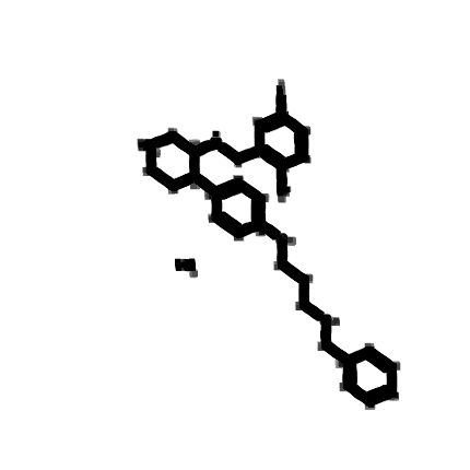 Cl.Fc1ccc(Br)c(COC2CNCCC2c2ccc(OCCCOCc3ccccc3)cc2)c1